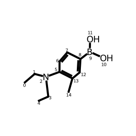 CCN(CC)c1ccc(B(O)O)cc1C